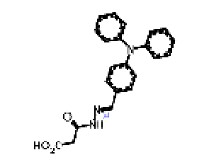 O=C(O)CC(=O)N/N=C/c1ccc(N(c2ccccc2)c2ccccc2)cc1